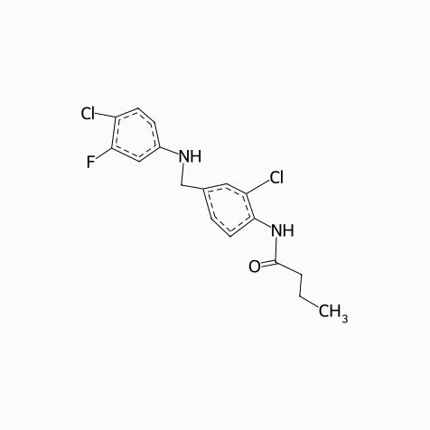 CCCC(=O)Nc1ccc(CNc2ccc(Cl)c(F)c2)cc1Cl